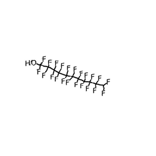 OC(F)(F)C(F)(F)C(F)(F)C(F)(F)C(F)(F)C(F)(F)C(F)(F)C(F)(F)C(F)(F)C(F)(F)C(F)F